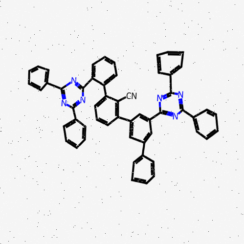 N#Cc1c(-c2cc(-c3ccccc3)cc(-c3nc(-c4ccccc4)nc(-c4ccccc4)n3)c2)cccc1-c1ccccc1-c1nc(-c2ccccc2)nc(-c2ccccc2)n1